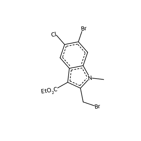 CCOC(=O)c1c(CBr)n(C)c2cc(Br)c(Cl)cc12